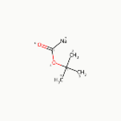 CC(C)(C)O[C](=O)[Na]